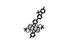 Cc1ccc2c(c1)N(C(=O)OC(C)(C)C)/C(=C1\C(=O)c3ccc(-c4ccc5c(c4)C(C)(C)c4cc(C)ccc4-5)cc3N1C(=O)OC(C)(C)C)C2=O